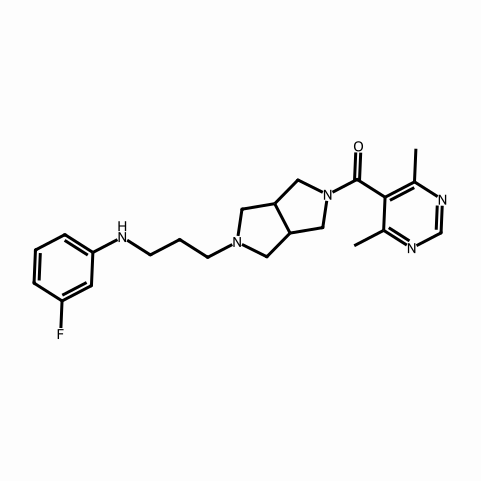 Cc1ncnc(C)c1C(=O)N1CC2CN(CCCNc3cccc(F)c3)CC2C1